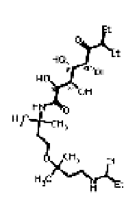 CCC(CC)NCCC(C)(C)OCCC(C)(C)NC(=O)[C@@H](O)[C@H](O)[C@H](O)[C@@H](O)C(=O)C(CC)CC